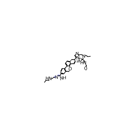 CCCNC/C=N/C=C(\NC)c1ccc2c(c1)COc1c-2ccc2cc(-c3cnc(CN(CCC)C(=O)CNC=O)[nH]3)ccc12